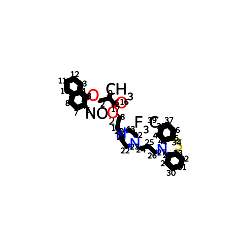 CC(COc1c([N+](=O)[O-])ccc2ccccc12)C(=O)OCCN1CCN(CCCN2c3ccccc3Sc3ccc(C(F)(F)F)cc32)CC1